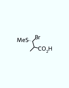 CS[C@H](Br)C(C)C(=O)O